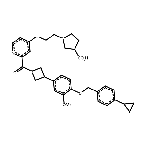 COc1cc(C2CN(C(=O)c3cc(OCCN4CCC(C(=O)O)C4)ccn3)C2)ccc1OCc1ccc(C2CC2)cc1